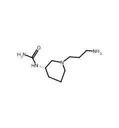 NCCCN1CCC[C@H](NC(N)=O)C1